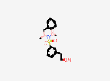 CBN(B(C)Cc1ccccc1)S(=O)(=O)c1cccc(CCO)c1